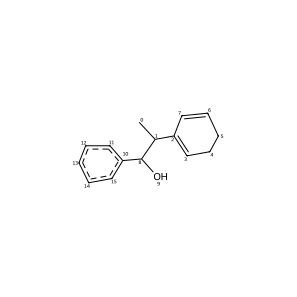 CC(C1=CCCC=C1)C(O)c1ccccc1